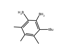 Bc1c(B)c(C(C)(C)C)c(C)c(C)c1C